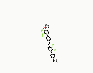 CCOc1ccc(-c2ccc(CCc3ccc(-c4ccc(CC)cc4)c(F)c3F)cc2)c(F)c1F